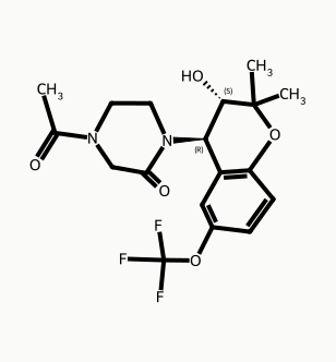 CC(=O)N1CCN([C@@H]2c3cc(OC(F)(F)F)ccc3OC(C)(C)[C@H]2O)C(=O)C1